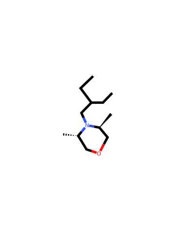 CCC(CC)CN1[C@@H](C)COC[C@@H]1C